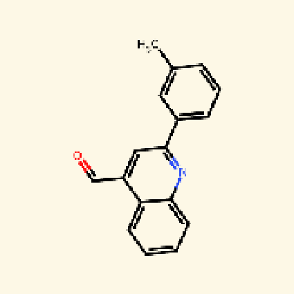 Cc1cccc(-c2cc(C=O)c3ccccc3n2)c1